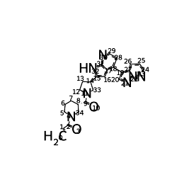 C=CC(=O)N1CCC[C@H](C(=O)N2CCC(c3cc4c(-c5cnn6ncccc56)ccnc4[nH]3)C2)C1